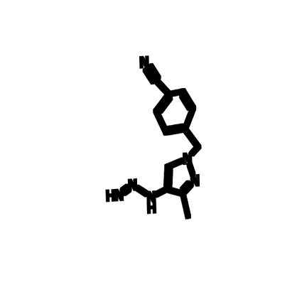 Cc1nn(Cc2ccc(C#N)cc2)cc1NN=N